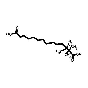 CC(C)(CCCCCCCCCCC(=O)O)C(C)(C)C(=O)O